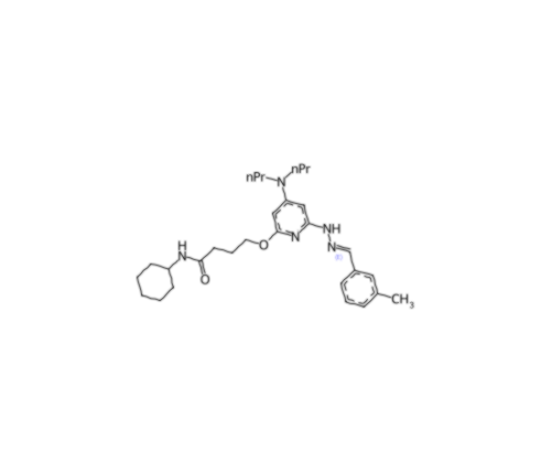 CCCN(CCC)c1cc(N/N=C/c2cccc(C)c2)nc(OCCCC(=O)NC2CCCCC2)c1